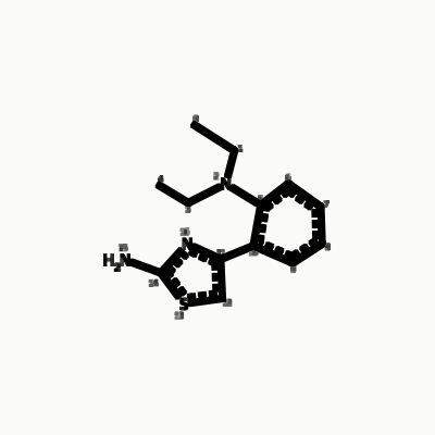 CCN(CC)c1ccccc1-c1csc(N)n1